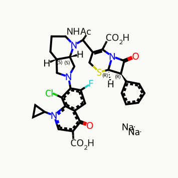 CC(=O)NC(C1=C(C(=O)O)N2C(=O)[C@@H](c3ccccc3)[C@H]2SC1)N1CCC[C@H]2CN(c3c(F)cc4c(=O)c(C(=O)O)cn(C5CC5)c4c3Cl)C[C@H]21.[Na].[Na]